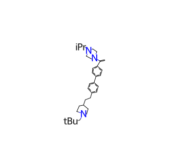 C=C(c1ccc(-c2ccc(CCC3CCN(CC(C)(C)C)CC3)cc2)cc1)N1CCN(C(C)C)CC1